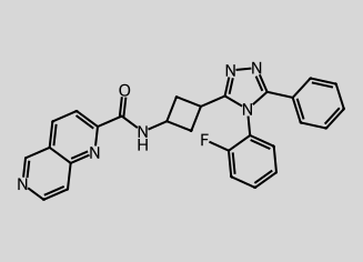 O=C(NC1CC(c2nnc(-c3ccccc3)n2-c2ccccc2F)C1)c1ccc2cnccc2n1